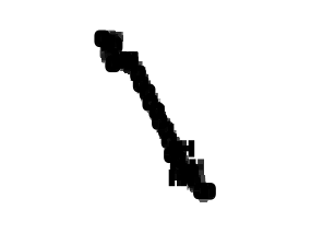 CC(=O)OCc1ccc(NC(=O)CNC(=O)COCC(=O)NCCOCCOCCOCCOCCOCCOCCOCCOCCn2cc(CNC(=O)C3CCC(CN4C(=O)CC(C)C4=O)CC3)nn2)cc1